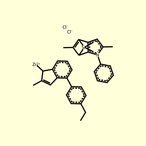 CC1=C2c3cc(C)n(-c4ccccc4)c3C1[Si]2(C)C.CCc1ccc(-c2cccc3c2C=C(C)[CH]3[Zr+2])cc1.[Cl-].[Cl-]